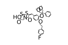 COCC(COC)(Oc1cc(/C=C2/SC(=S)N(CC(=O)O)C2=O)ccc1OCCc1ccc(F)cc1)c1ccccc1